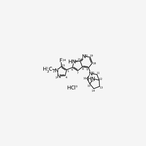 Cl.Cn1ncc(-c2cc3c(N4CC5CCC(C4)N5)ccnc3[nH]2)c1F